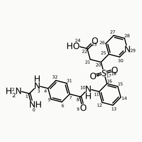 N=C(N)Nc1ccc(C(=O)Nc2ccccc2S(=O)(=O)C(CC(=O)O)c2cccnc2)cc1